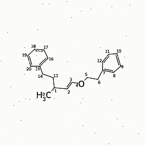 CC(C=COCCc1ccccc1)CCc1ccccc1